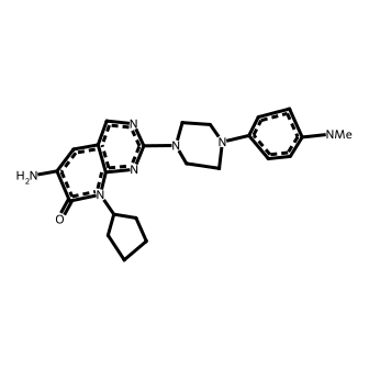 CNc1ccc(N2CCN(c3ncc4cc(N)c(=O)n(C5CCCC5)c4n3)CC2)cc1